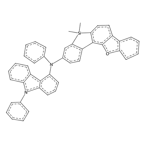 C[Si]1(C)c2cc(N(c3ccccc3)c3cccc4c3c3ccccc3n4-c3ccccc3)ccc2-c2c1ccc1c2oc2ccccc21